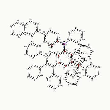 c1ccc(-c2c(-c3ccccc3)c(-c3ccccc3)c3c(-c4ccccc4-c4ccccc4N(c4ccc(-c5ccc6ccccc6c5)cc4)c4cccc(S(c5ccccc5)(c5ccccc5)c5ccccc5)c4)cccc3c2-c2ccccc2)cc1